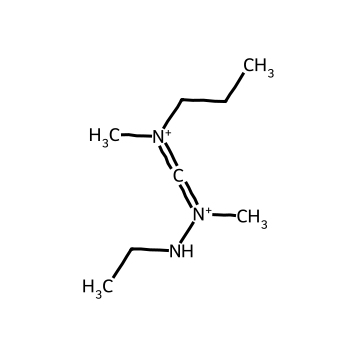 CCC[N+](C)=C=[N+](C)NCC